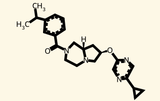 CC(C)c1cccc(C(=O)N2CCN3C[C@H](Oc4cnc(C5CC5)cn4)C[C@H]3C2)c1